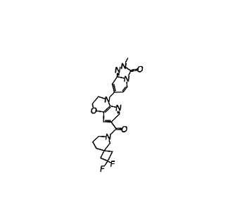 Cn1nc2cc(N3CCOc4cc(C(=O)N5CCCC6(C5)CC(F)(F)C6)cnc43)ccn2c1=O